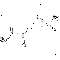 CC(C)(C)NC(=O)CCS(N)(=O)=O